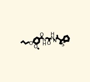 CCCCOc1ccc(C(=O)NCC(=O)N/N=C(\C)c2csc3ccccc23)cc1OC